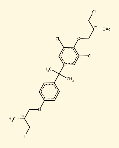 CC(=O)O[C@@H](CCl)COc1c(Cl)cc(C(C)(C)c2ccc(OC[C@@H](C)CF)cc2)cc1Cl